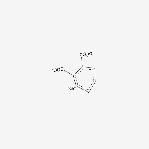 CCOC(=O)c1ccccc1C(=O)[O-].[Na+]